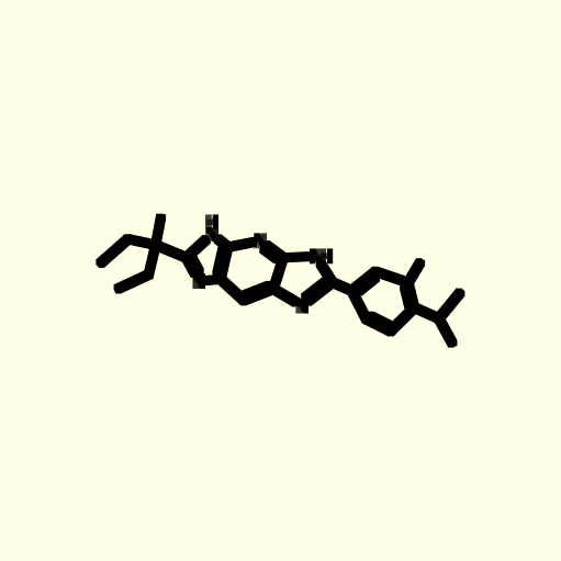 CCC(C)(CC)c1nc2cc3nc(-c4ccc(C(C)C)c(C)c4)[nH]c3nc2[nH]1